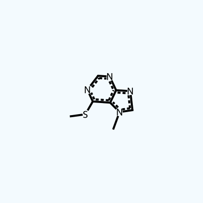 CSc1ncnc2ncn(C)c12